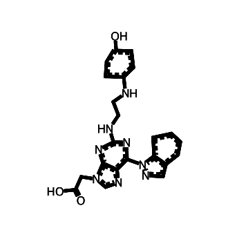 O=C(O)Cn1cnc2c(-n3ncc4ccccc43)nc(NCCNc3ccc(O)cc3)nc21